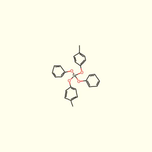 Cc1ccc(O[Si](Oc2ccccc2)(Oc2ccccc2)Oc2ccc(C)cc2)cc1